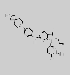 C=CCn1c(=O)c2cnc(Nc3ccc(N4CCC5(CC4)CNC5)cc3)nc2n1-c1ccc(=O)n(C(C)C)n1